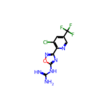 N=C(N)Nc1nc(-c2ncc(C(F)(F)F)cc2Cl)no1